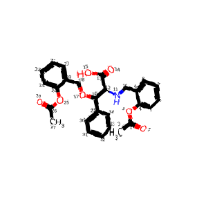 CC(=O)Oc1ccccc1CN[C@H](C(=O)O)C(OCc1ccccc1OC(C)=O)c1ccccc1